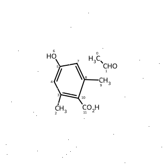 CC=O.Cc1cc(O)cc(C)c1C(=O)O